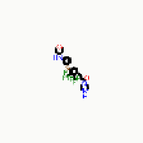 O=C(C=Cc1ccc(Sc2cccc(NC3CCOCC3)c2)c(C(F)(F)F)c1C(F)(F)F)N1CCNCC1